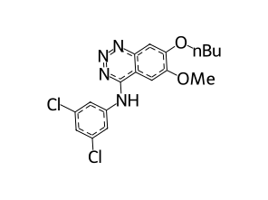 CCCCOc1cc2nnnc(Nc3cc(Cl)cc(Cl)c3)c2cc1OC